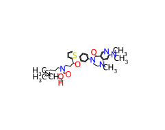 CN(C)c1cc2c(cn1)C(=O)N(c1cccc(OC(CCN(CCC[Si](C)(C)C)C(=O)O)c3cccs3)c1)CCN2C